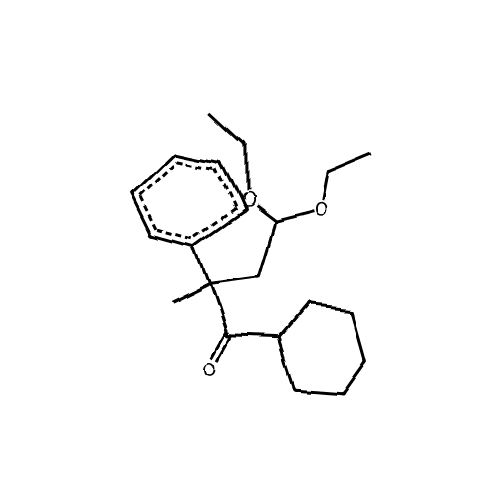 CCOC(CC(C)(C(=O)C1CCCCC1)c1ccccc1)OCC